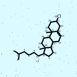 CC(C)CCC[C@@H](C)C1CCC2C3CC=C4CC(Cl)CCC4(C)C3CCC21C